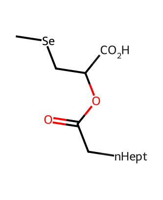 CCCCCCCCC(=O)OC(C[Se]C)C(=O)O